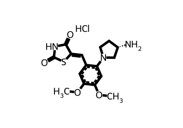 COc1cc(/C=C2\SC(=O)NC2=O)c(N2CC[C@H](N)C2)cc1OC.Cl